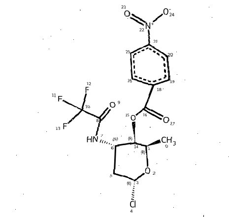 C[C@H]1O[C@H](Cl)C[C@H](NC(=O)C(F)(F)F)[C@H]1OC(=O)c1ccc([N+](=O)[O-])cc1